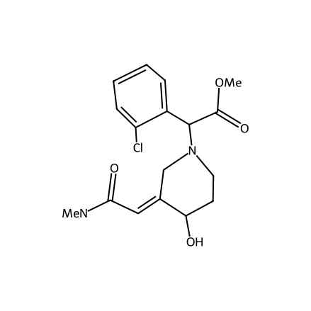 CNC(=O)C=C1CN(C(C(=O)OC)c2ccccc2Cl)CCC1O